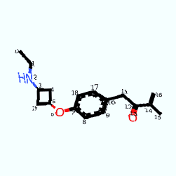 CCN[C@H]1C[C@@H](Oc2ccc(CC(=O)C(C)C)cc2)C1